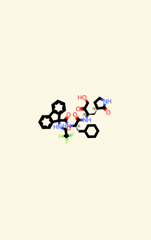 O=C1NCC[C@H]1C[C@@H](NC(=O)[C@H](CC1CCCCC1)NC(=O)C1(NC(=O)C(F)(F)F)c2ccccc2-c2ccccc21)C(=O)CO